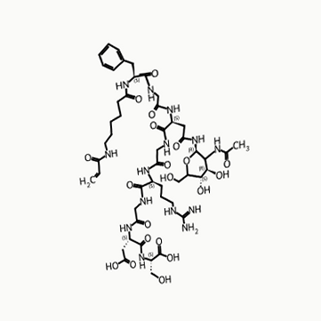 C=CC(=O)NCCCCCC(=O)N[C@@H](Cc1ccccc1)C(=O)NCC(=O)N[C@@H](CC(=O)N[C@@H]1OC(CO)[C@@H](O)[C@H](O)C1NC(C)=O)C(=O)NCC(=O)N[C@@H](CCCNC(=N)N)C(=O)NCC(=O)N[C@@H](CC(=O)O)C(=O)N[C@@H](CO)C(=O)O